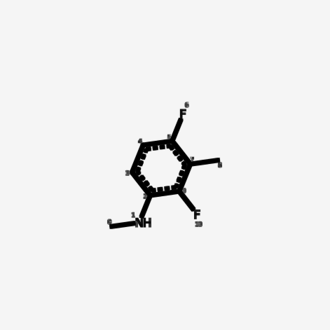 CNc1ccc(F)c(C)c1F